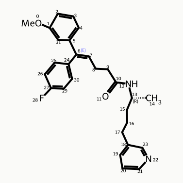 COc1cccc(/C(=C/CCC(=O)N[C@H](C)CCCc2cccnc2)c2ccc(F)cc2)c1